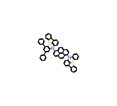 c1ccc(-c2cc(-c3ccccc3)cc(N(c3ccc4ccc5c(N(c6ccccc6)c6cccc7c6sc6ccccc67)ccc6ccc3c4c65)c3cccc4c3sc3ccccc34)c2)cc1